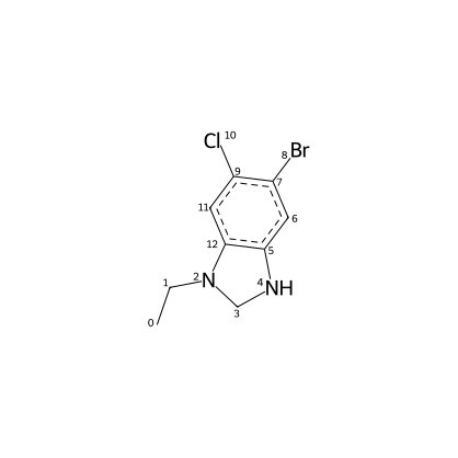 CCN1CNc2cc(Br)c(Cl)cc21